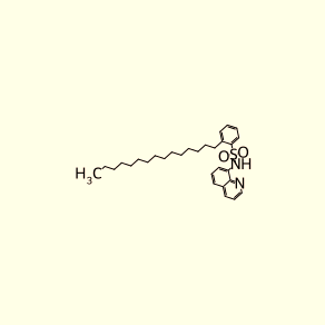 CCCCCCCCCCCCCCCc1ccccc1S(=O)(=O)Nc1cccc2cccnc12